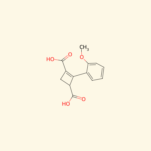 COc1ccccc1C1=C(C(=O)O)CC1C(=O)O